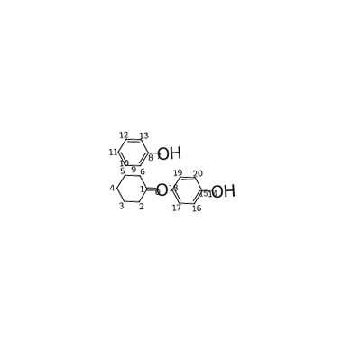 O=C1CCCCC1.Oc1ccccc1.Oc1ccccc1